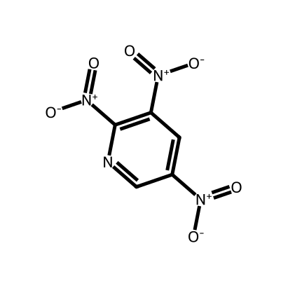 O=[N+]([O-])c1cnc([N+](=O)[O-])c([N+](=O)[O-])c1